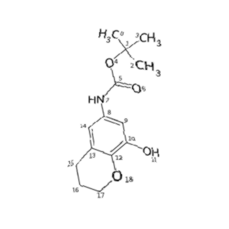 CC(C)(C)OC(=O)Nc1cc(O)c2c(c1)CCCO2